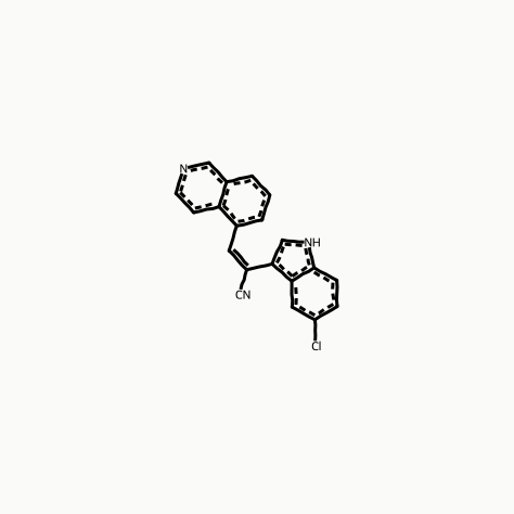 N#CC(=Cc1cccc2cnccc12)c1c[nH]c2ccc(Cl)cc12